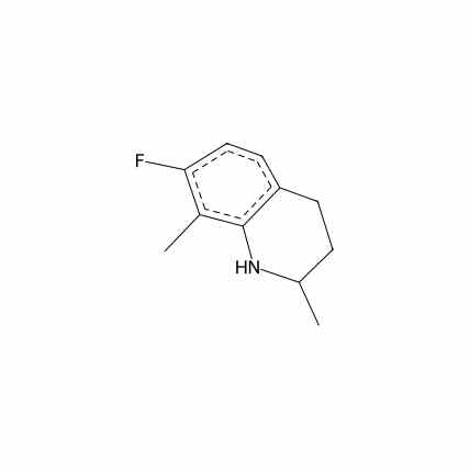 Cc1c(F)ccc2c1NC(C)CC2